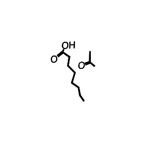 CC(C)=O.CCCCCCCC(=O)O